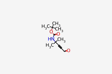 CC(C)(C#CC=O)NC(=O)OC(C)(C)C